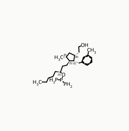 CCCCC[C@@H](CC[C@@H]1[C@@H](Cc2cccc(C)c2)[C@@H](CCO)C[C@H]1C)OP(P)P